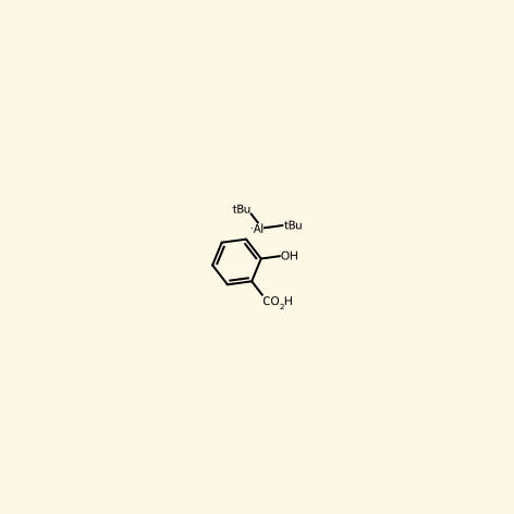 C[C](C)(C)[Al][C](C)(C)C.O=C(O)c1ccccc1O